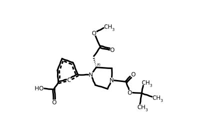 COC(=O)C[C@@H]1CN(C(=O)OC(C)(C)C)CCN1c1cccc(C(=O)O)c1